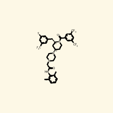 Cc1cccc(C)c1NC(=O)CN1CCN([C@@H]2CCN(C(=O)c3cc(C(F)(F)F)cc(C(F)(F)F)c3)[C@H](Cc3cc(F)cc(C(F)(F)F)c3)C2)CC1